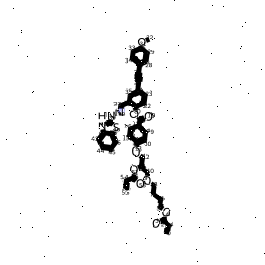 C=CC(=O)OCCCCOCC(COc1ccc(C(=O)Oc2ccc(C#Cc3ccc(OC)cc3)cc2/C=N/Nc2nc3ccccc3s2)cc1)OC(=O)C=C